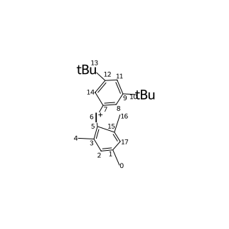 Cc1cc(C)c([I+]c2cc(C(C)(C)C)cc(C(C)(C)C)c2)c(C)c1